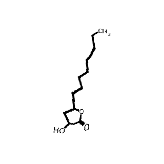 CCCCCCCCC1CC(O)C(=O)O1